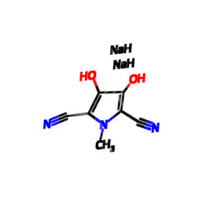 Cn1c(C#N)c(O)c(O)c1C#N.[NaH].[NaH]